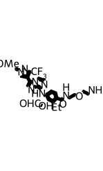 CCc1cc(Nc2nccn3c(-c4cn(COC)nc4C(F)(F)F)cnc23)ccc1C(=O)NCCOCCN.O=CO